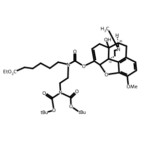 CCOC(=O)CCCCCN(CCN(C(=O)OC(C)(C)C)C(=O)OC(C)(C)C)C(=O)OC1=CCC2(O)[C@H]3Cc4ccc(OC)c5c4[C@@]2(CCN3C)C1O5